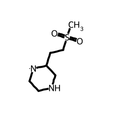 CS(=O)(=O)CCC1CNCC[N]1